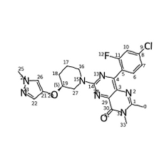 Cc1nc2c(-c3ccc(Cl)cc3F)nc(N3CCC[C@H](Oc4cnn(C)c4)C3)nc2c(=O)n1C